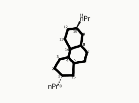 CCC[C@@H]1CCC2C(CCC3C[C@H](CCC)CCC32)C1